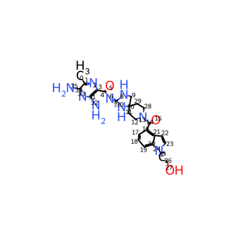 Cc1nc(C(=O)/N=C2\NCC3(CCN(C(=O)c4cccc5c4ccn5CCO)CC3)N2)c(N)nc1N